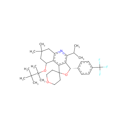 CC(C)c1nc2c(c3c1[C@H](c1ccc(C(F)(F)F)cc1)OC31CCOCC1)C(O[Si](C)(C)C(C)(C)C)CC(C)(C)C2